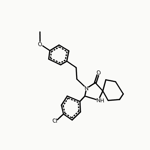 COc1ccc(CCN2C(=O)C3(CCCCC3)NC2c2ccc(Cl)cc2)cc1